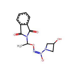 CC(O/N=[N+](/[O-])N1CC(O)C1)N1C(=O)c2ccccc2C1=O